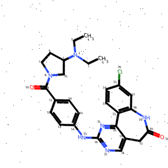 CCN(CC)C1CCN(C(=O)c2ccc(Nc3ncc4c(n3)-c3ccc(Cl)cc3NC(=O)C4)cc2)C1